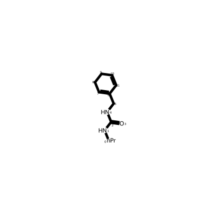 CCCNC(=O)NCC1=CCCC=C1